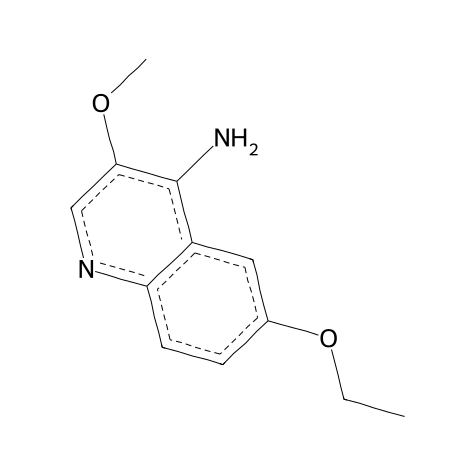 CCOc1ccc2ncc(OC)c(N)c2c1